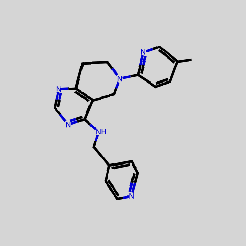 Cc1ccc(N2CCc3ncnc(NCc4ccncc4)c3C2)nc1